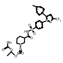 Cc1ccc(-c2cc(C(F)(F)F)nn2-c2ccc(S(=O)(=O)NC(=O)C3CCCN(n4on4OC(C)OC(=O)C(C)(C)C)C3)cc2)cc1